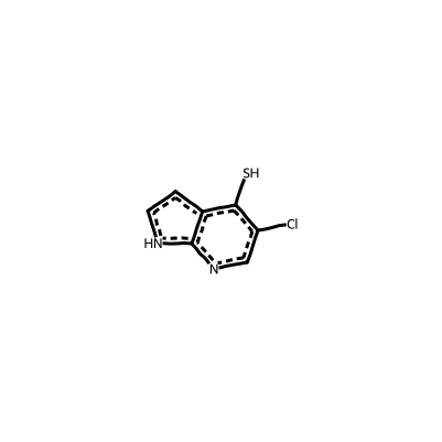 Sc1c(Cl)cnc2[nH]ccc12